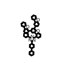 C1=CC(c2nc(-c3ccc(-c4ccccc4)cc3)nc(-c3cccc4oc5c(-c6ccc7oc8ccccc8c7c6)cc(-c6cccc7c6oc6ccccc67)cc5c34)n2)=CCC1